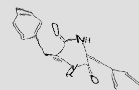 O=C1N[C@@H](Cc2ccccc2)C(=O)NC1=Cc1ccccc1